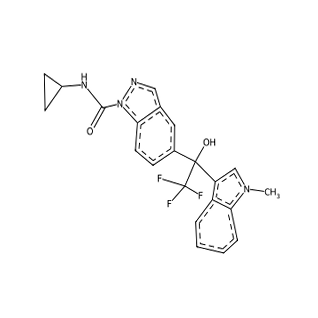 Cn1cc(C(O)(c2ccc3c(cnn3C(=O)NC3CC3)c2)C(F)(F)F)c2ccccc21